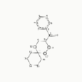 C=C(c1ccccc1)C1COC2(CCCCC2)OO1